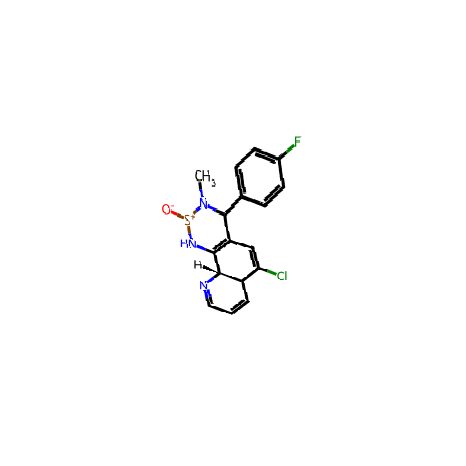 CN1C(c2ccc(F)cc2)C2=C(N[S+]1[O-])[C@H]1N=CC=CC1C(Cl)=C2